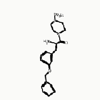 CCOC(=O)N1CCN(C(=O)C(N)Cc2cccc(OCc3ccccc3)c2)CC1